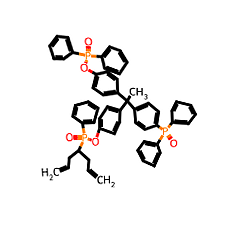 C=CCC(CC=C)P(=O)(Oc1ccc(C(C)(c2ccc(OP(=O)(c3ccccc3)c3ccccc3)cc2)c2ccc(P(=O)(c3ccccc3)c3ccccc3)cc2)cc1)c1ccccc1